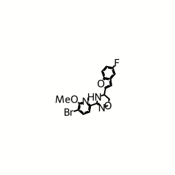 COc1nc(C2=NOCC(c3cc4cc(F)ccc4o3)N2)ccc1Br